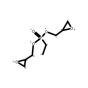 CCP(=O)(OCC1CO1)OCC1CO1